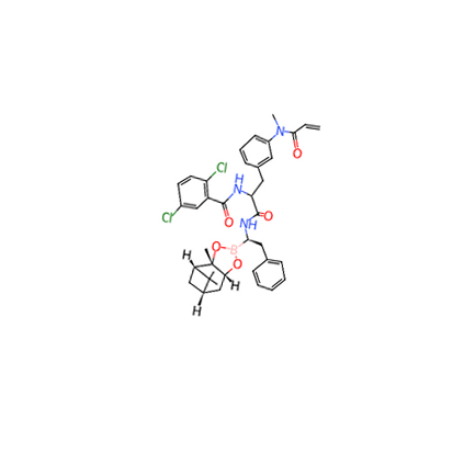 C=CC(=O)N(C)c1cccc(CC(NC(=O)c2cc(Cl)ccc2Cl)C(=O)N[C@@H](Cc2ccccc2)B2O[C@@H]3C[C@@H]4C[C@@H](C4(C)C)[C@]3(C)O2)c1